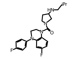 CC(C)CNC1CCN(C(=O)N2CCN(c3ccc(F)cc3)c3cc(F)ccc32)C1